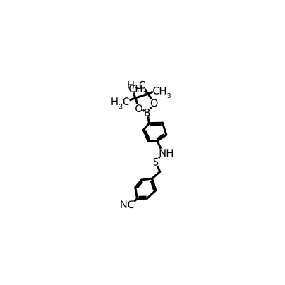 CC1(C)OB(c2ccc(NSCc3ccc(C#N)cc3)cc2)OC1(C)C